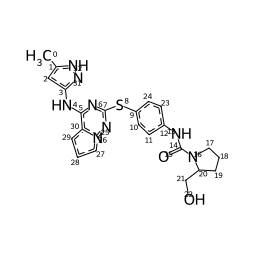 Cc1cc(Nc2nc(Sc3ccc(NC(=O)N4CCCC4CO)cc3)nn3cccc23)n[nH]1